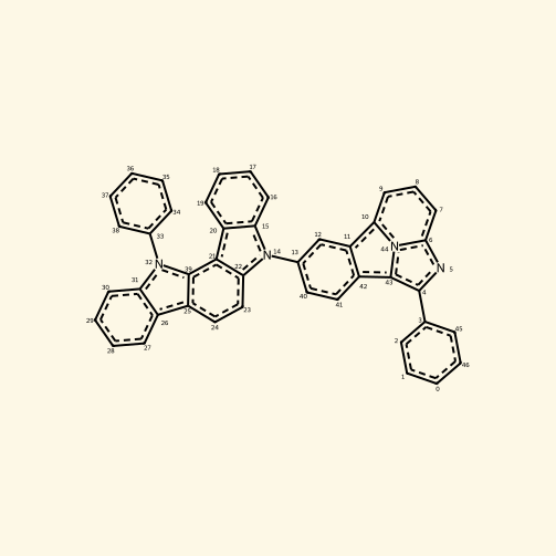 c1ccc(-c2nc3cccc4c5cc(-n6c7ccccc7c7c6ccc6c8ccccc8n(-c8ccccc8)c67)ccc5c2n34)cc1